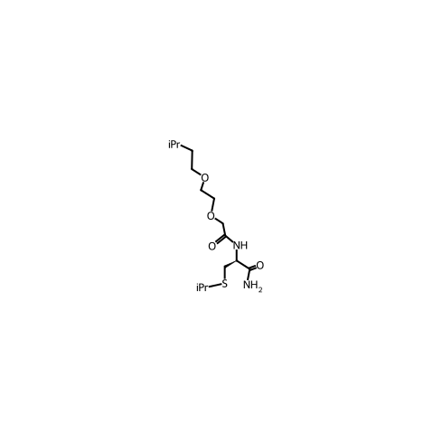 CC(C)CCOCCOCC(=O)N[C@H](CSC(C)C)C(N)=O